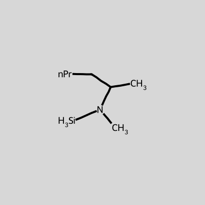 CCCCC(C)N(C)[SiH3]